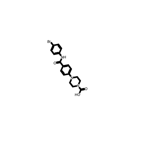 O=C(Nc1ccc(Br)cc1)c1ccc(N2CCN(C(=O)O)CC2)cc1